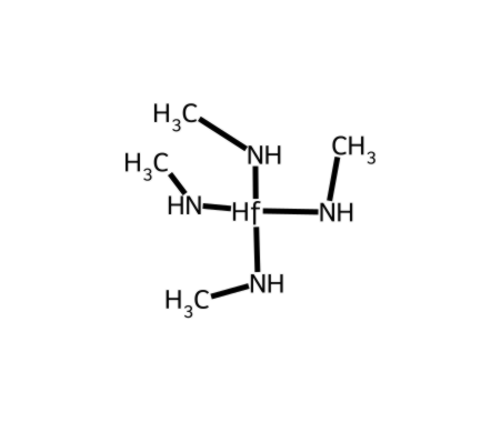 C[NH][Hf]([NH]C)([NH]C)[NH]C